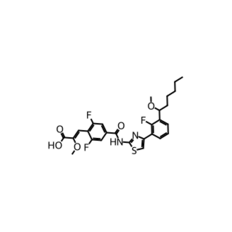 CCCCCC(OC)c1cccc(-c2csc(NC(=O)c3cc(F)c(C=C(OC)C(=O)O)c(F)c3)n2)c1F